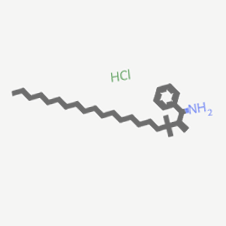 C=C(C(N)c1ccccc1)C(C)(C)CCCCCCCCCCCCCCCCC.Cl